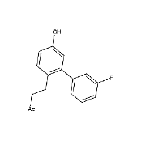 CC(=O)CCc1ccc(O)cc1-c1cccc(F)c1